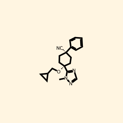 Cn1ncnc1[C@]1(OCC2CC2)CC[C@](C#N)(c2ccccc2)CC1